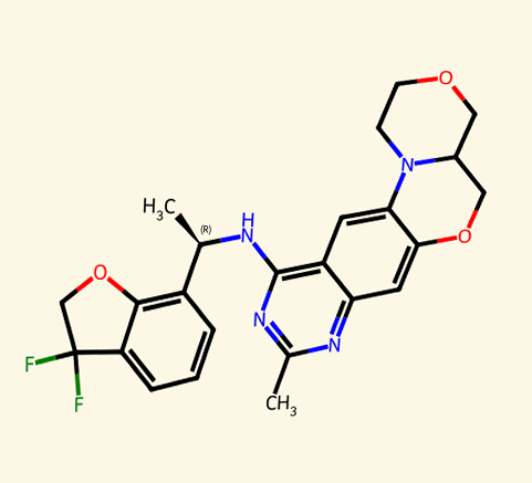 Cc1nc(N[C@H](C)c2cccc3c2OCC3(F)F)c2cc3c(cc2n1)OCC1COCCN31